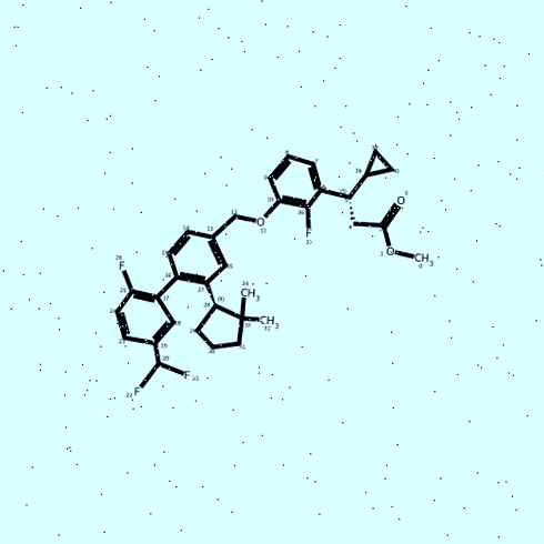 COC(=O)C[C@H](c1cccc(OCc2ccc(-c3cc(C(F)F)ccc3F)c([C@@H]3CCCC3(C)C)c2)c1F)C1CC1